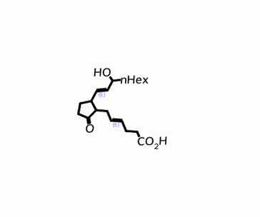 CCCCCCC(O)/C=C/C1CCC(=O)C1C/C=C/CCC(=O)O